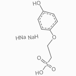 O=S(=O)(O)CCOc1ccc(O)cc1.[NaH].[NaH]